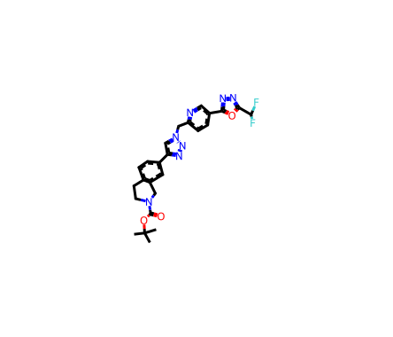 CC(C)(C)OC(=O)N1CCc2ccc(-c3cn(Cc4ccc(-c5nnc(C(F)F)o5)cn4)nn3)cc2C1